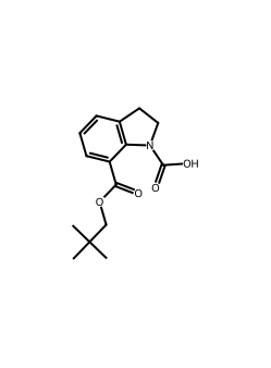 CC(C)(C)COC(=O)c1cccc2c1N(C(=O)O)CC2